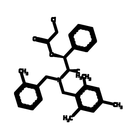 Cc1cc(C)c(CN(Cc2ccccc2C)[C@H](C)[C@@H](OC(=O)CCl)c2ccccc2)c(C)c1